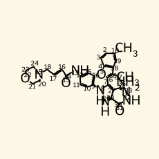 Cc1ccc2oc(/C(Nc3ccc(NC(=O)/C=C/CN4CCOCC4)cc3)=C3/C(=N)C(=O)NN=C3N)c(C)c2c1